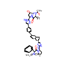 COC(=O)NC(C(=O)N1CC(=O)CC1c1nc(-c2ccc(-c3ccc4cc(-c5cnc(C6CCCN6C(=O)C(c6ccccc6)N(C)C)[nH]5)ccc4c3)cc2)c[nH]1)C(C)C